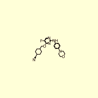 N#CC1CCC(COc2nc(Nc3ccc(N4CCOCC4)cc3)ncc2F)CC1